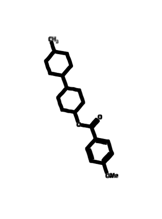 COc1ccc(C(=O)OC2CCC(C3CCC(C)CC3)CC2)cc1